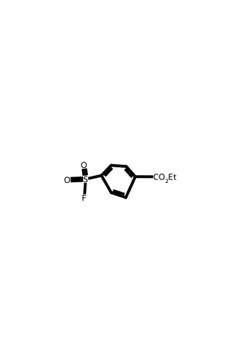 CCOC(=O)c1ccc(S(=O)(=O)F)cc1